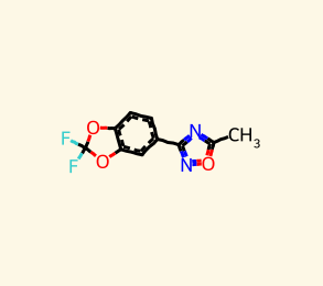 Cc1nc(-c2ccc3c(c2)OC(F)(F)O3)no1